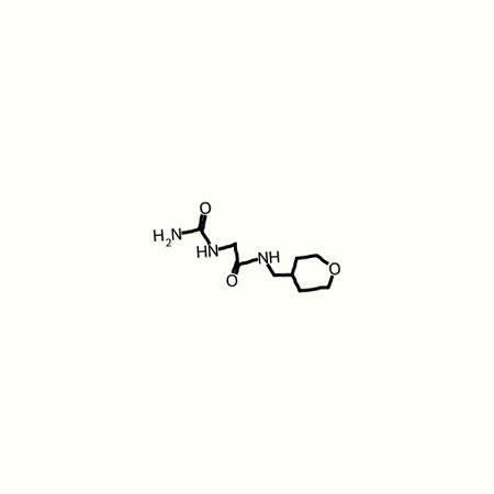 NC(=O)NCC(=O)NCC1CCOCC1